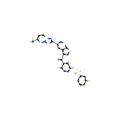 O=C(c1c(F)ccc(NS(=O)(=O)c2cccc(F)c2)c1F)c1c[nH]c2ncc(-c3cn4ccc(C(F)(F)F)nc4n3)cc12